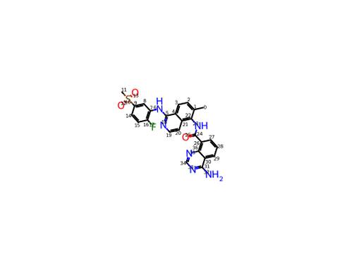 Cc1ccc2c(Nc3cc(S(C)(=O)=O)ccc3F)nccc2c1NC(=O)c1cccc2c(N)ncnc12